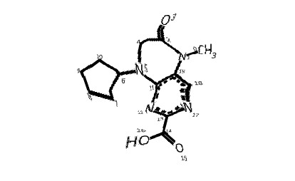 CN1C(=O)CN(C2CCCC2)c2nc(C(=O)O)ncc21